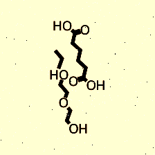 CCC.O=C(O)CCCCC(=O)O.OCCOCCO